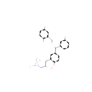 CCN(CC)CC1Cc2cc(C(OCc3cc(Cl)ccc3Cl)c3cccc(Cl)c3)ccc2OO1